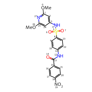 COc1cc(NS(=O)(=O)c2ccc(NC(=O)c3ccc([N+](=O)[O-])cc3)cc2)cc(OC)n1